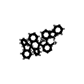 OC1(c2cccc(Cl)c2-c2cccc3c2sc2ccccc23)c2ccccc2C2(c3ccccc3-c3ccccc32)c2ccccc21